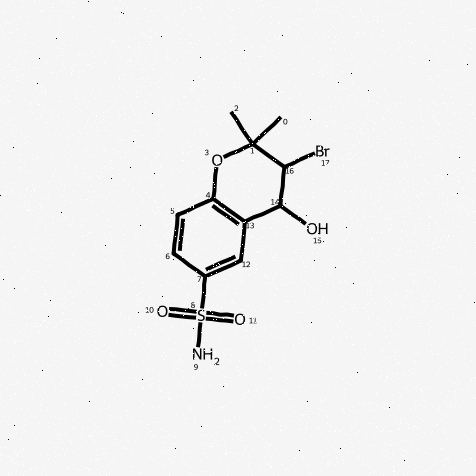 CC1(C)Oc2ccc(S(N)(=O)=O)cc2C(O)C1Br